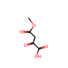 COC(=O)CC(=O)C(=O)O